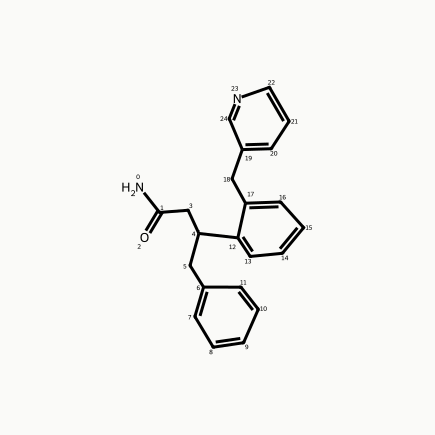 NC(=O)C[C](Cc1ccccc1)c1ccccc1Cc1cccnc1